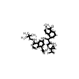 Cn1ccc2c(C(Nc3cc(C#N)c4ncnc(NCC(C)(C)C)c4c3)/C(N)=C/N(N)C3(C(F)F)CC3)cccc2c1=O